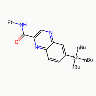 CCC[CH2][Sn]([CH2]CCC)([CH2]CCC)[c]1ccc2nc(C(=O)NCC)cnc2c1